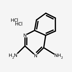 Cl.Cl.Nc1nc(N)c2ccccc2n1